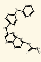 CCNC(=O)Nc1ccc2ncc(Nc3ccc(Oc4ccccc4)cc3)nc2n1